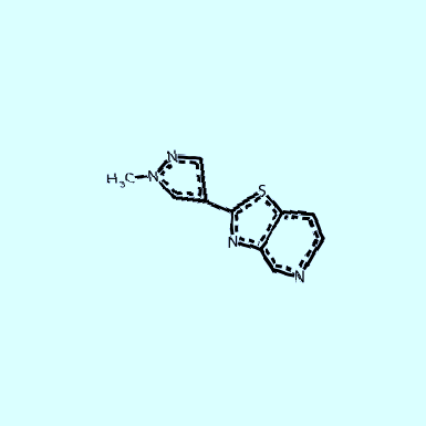 Cn1cc(-c2nc3cnccc3s2)cn1